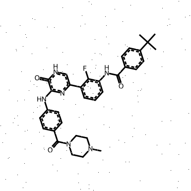 CN1CCN(C(=O)c2ccc(Nc3nc(-c4cccc(NC(=O)c5ccc(C(C)(C)C)cc5)c4F)c[nH]c3=O)cc2)CC1